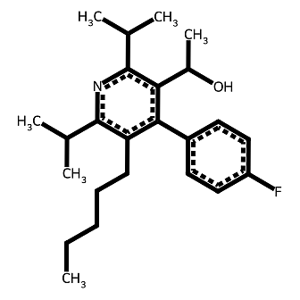 CCCCCc1c(C(C)C)nc(C(C)C)c(C(C)O)c1-c1ccc(F)cc1